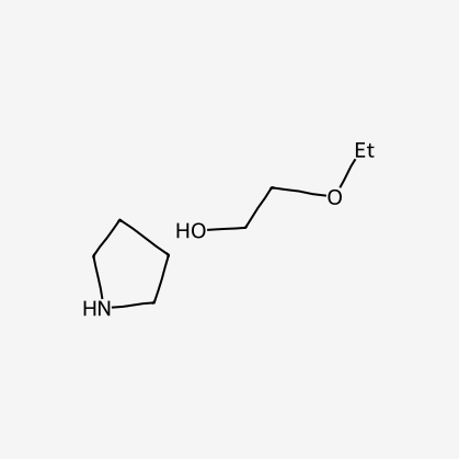 C1CCNC1.CCOCCO